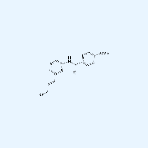 COc1ccc(C(=O)Nc2cccc(C=CC[O])c2)cc1